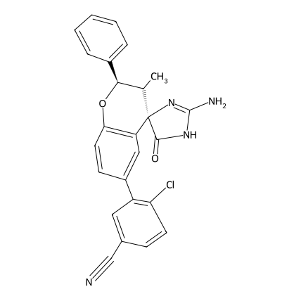 CC1[C@H](c2ccccc2)Oc2ccc(-c3cc(C#N)ccc3Cl)cc2[C@]12N=C(N)NC2=O